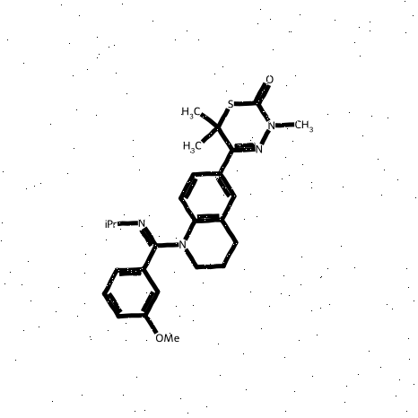 COc1cccc(C(=NC(C)C)N2CCCc3cc(C4=NN(C)C(=O)SC4(C)C)ccc32)c1